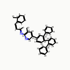 CC(/C=C\c1ccccc1C)=N\c1ncc(-c2ccc(-c3ccccc3-c3ccccc3)c(-c3ccccc3)c2)cc1C